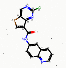 O=C(Nc1ccc2ncccc2c1)c1csc2cnc(Cl)nc12